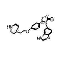 O=C1OC[C@H](c2ccc(OCCN3CCNCC3)cc2)N1c1ccc2nc[nH]c2c1